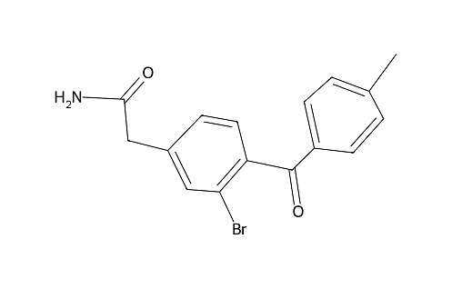 Cc1ccc(C(=O)c2ccc(CC(N)=O)cc2Br)cc1